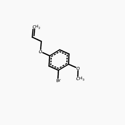 C=CCOc1ccc(OC)c(Br)c1